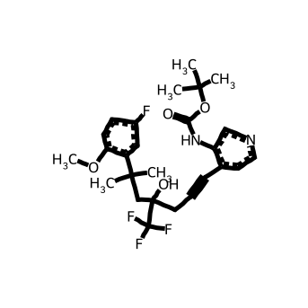 COc1ccc(F)cc1C(C)(C)CC(O)(CC#Cc1ccncc1NC(=O)OC(C)(C)C)C(F)(F)F